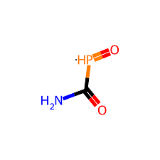 NC(=O)[PH]=O